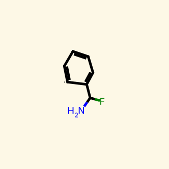 NC(F)c1[c]cccc1